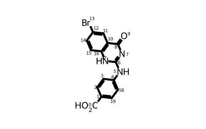 O=C(O)c1ccc(Nc2nc(=O)c3cc(Br)ccc3[nH]2)cc1